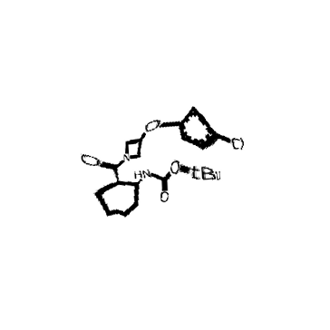 CC(C)(C)OC(=O)N[C@@H]1CCCC[C@H]1C(=O)N1CC(Oc2ccc(Cl)cc2)C1